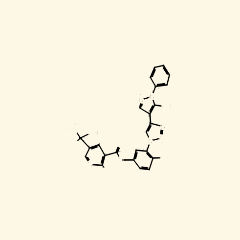 Cc1ccc(NC(=O)c2cc(C(C)(C)C)cnc2C)cc1-n1cc(-c2cnn(-c3ccccc3)c2C)nn1